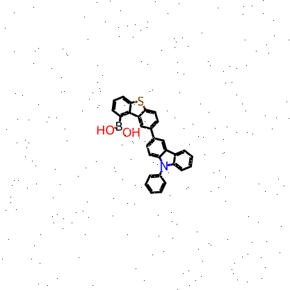 OB(O)c1cccc2sc3ccc(-c4ccc5c(c4)c4ccccc4n5-c4ccccc4)cc3c12